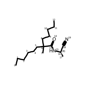 CCCCCCC(C)(CCCCC)C(=O)N[C@H](C)C#N